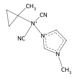 Cn1cc[n+]([N+](C#N)(C#N)C2(C)CC2)c1